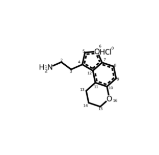 Cl.NCCc1coc2ccc3c(c12)CCCO3